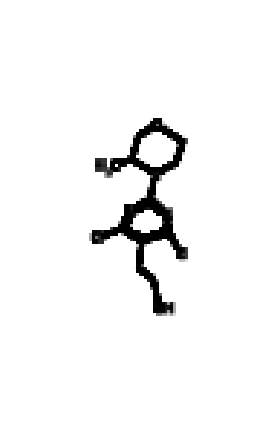 C[C@H]1COCCN1c1nc(Cl)c(CCO)c(Cl)n1